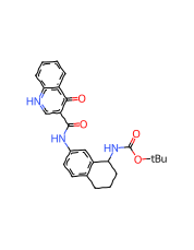 CC(C)(C)OC(=O)NC1CCCc2ccc(NC(=O)c3c[nH]c4ccccc4c3=O)cc21